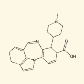 CN1CCC(C2C3=C(C=CC2C(=O)O)n2ccc4c2C(=CCC4)C=N3)CC1